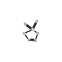 [O]=[Cr]1(=[O])[O]N=N[O]1